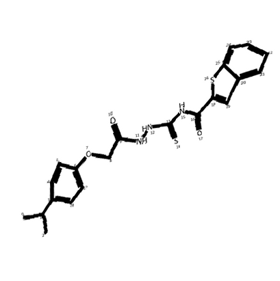 CC(C)c1ccc(OCC(=O)NNC(=S)NC(=O)c2cc3ccccc3s2)cc1